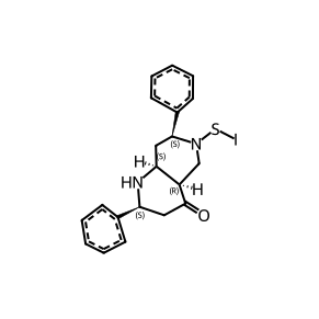 O=C1C[C@@H](c2ccccc2)N[C@H]2C[C@@H](c3ccccc3)N(SI)C[C@@H]12